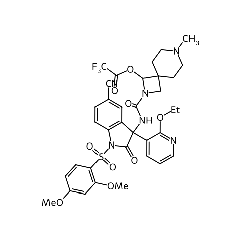 CCOc1ncccc1C1(NC(=O)N2CC3(CCN(C)CC3)C2OC(=O)C(F)(F)F)C(=O)N(S(=O)(=O)c2ccc(OC)cc2OC)c2ccc(C#N)cc21